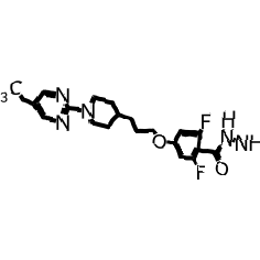 CCc1cnc(N2CCC(CCCOc3cc(F)c(C(=O)NN)c(F)c3)CC2)nc1